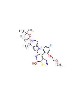 COCCOc1cc(F)cc(F)c1-c1c(-c2cc3n(n2)CCN(C(=O)OC(C)(C)C)[C@@H]3C)nc(O)c2sncc12